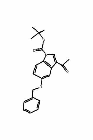 CC(=O)c1cn(C(=O)OC(C)(C)C)c2ccc(OCc3ccccc3)cc12